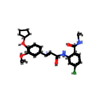 CNC(=O)c1ccc(Cl)cc1NC(=O)/C=C/c1ccc(OC2CCCC2)c(OC)c1